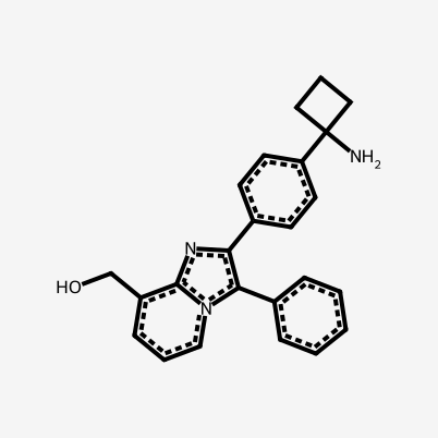 NC1(c2ccc(-c3nc4c(CO)cccn4c3-c3ccccc3)cc2)CCC1